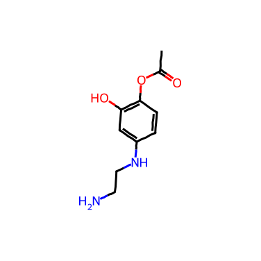 CC(=O)Oc1ccc(NCCN)cc1O